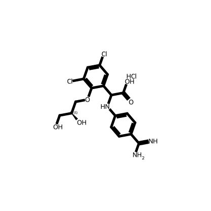 Cl.N=C(N)c1ccc(NC(C(=O)O)c2cc(Cl)cc(Cl)c2OC[C@@H](O)CO)cc1